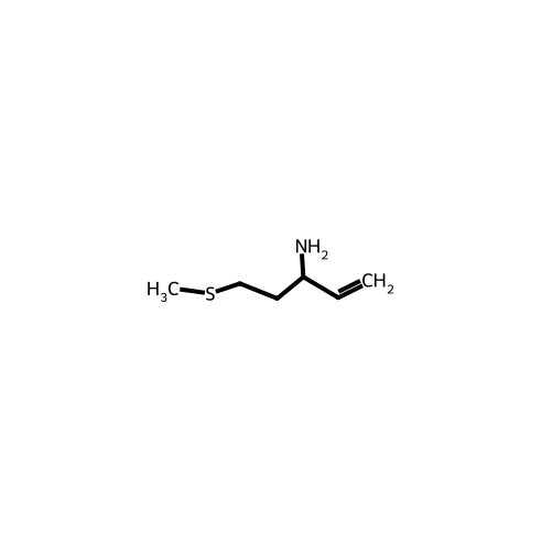 C=CC(N)CCSC